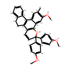 COc1ccc(C2(c3ccc(OC)cc3)C=Cc3c4c(c5cc(C)c(OC)cc5c3O2)-c2ccccc2CC4)cc1